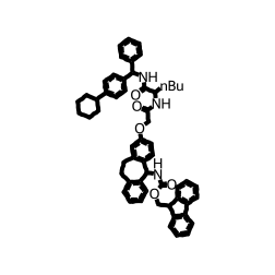 CCCCC(NC(=O)COc1ccc2c(c1)CCc1ccccc1C2NC(=O)OCC1c2ccccc2-c2ccccc21)C(=O)NC(c1ccccc1)c1ccc(C2CCCCC2)cc1